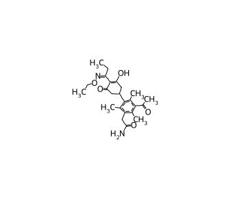 CCO/N=C(/CC)C1=C(O)CC(c2c(C)c(CC(N)=O)c(C)c(C(C)=O)c2C)CC1=O